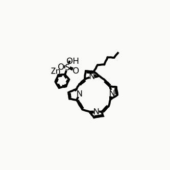 CCCCCC1=CC2=CC3=NC(=CC4=NC(=CC5=NC(=CC1=N2)C=C5)C=C4)C=C3.O=S(=O)(O)c1ccccc1.[Zn]